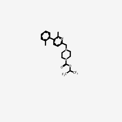 Cc1ccccc1-c1ccc(CN2CCN(C(=O)OC(C(F)(F)F)C(F)(F)F)CC2)nc1C